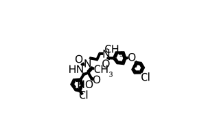 CC1=C(C(=O)O)C(c2cccc(Cl)c2)NC(=O)N1CCCN(C)C(=O)c1ccc(Oc2ccc(Cl)cc2)cc1